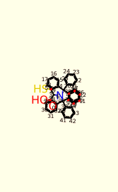 O=C(O)C(CS)N(C(c1ccccc1)(c1ccccc1)c1ccccc1)C(c1ccccc1)(c1ccccc1)c1ccccc1